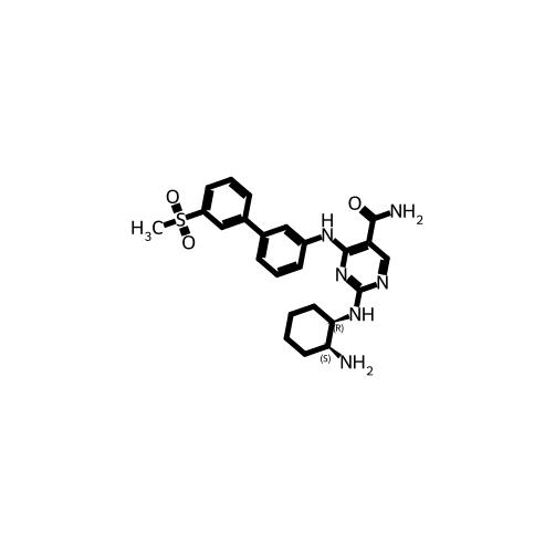 CS(=O)(=O)c1cccc(-c2cccc(Nc3nc(N[C@@H]4CCCC[C@@H]4N)ncc3C(N)=O)c2)c1